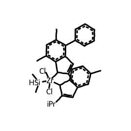 CC1=Cc2c(-c3ccccc3)c(C)cc(C)c2[CH]1[Zr]([Cl])([Cl])([CH]1C(C(C)C)=Cc2cc(C)ccc21)[SiH](C)C